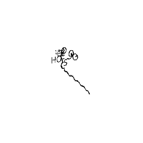 CCCCCCCCCCCC/C=C\C(SCCC(=O)OC)C(O)C[13C](=O)OC